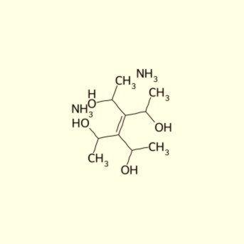 CC(O)C(=C(C(C)O)C(C)O)C(C)O.N.N